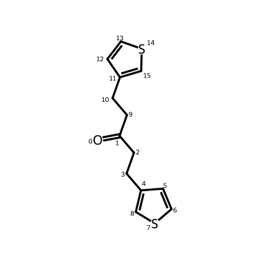 O=C(CCc1ccsc1)CCc1ccsc1